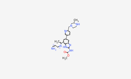 C=C(/N=C\C=C/N)c1cc(-c2ccc(CN3CCNC(C)C3)nc2)cc2nc(NC(=O)OC)[nH]c12